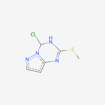 CSC1=Nc2ccnn2C(Cl)N1